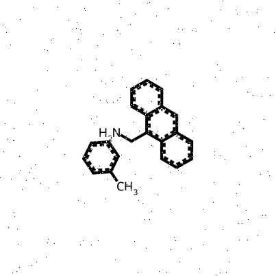 Cc1ccccc1.NCc1c2ccccc2cc2ccccc12